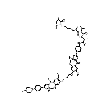 COc1cc2c(cc1OCCCOc1cc3c(cc1OC)C(=O)N1C=C(c4ccc(N5CCN(C)CC5)cc4)C[C@H]1C=N3)N=C[C@@H]1CC(c3ccc(NC(=O)[C@H](C)NC(=O)C(NC(=O)CCCCCN4C(=O)CC(C)C4=O)C(C)C)cc3)=CN1C2=O